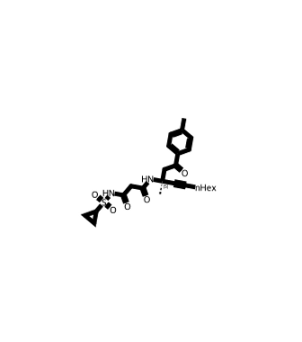 CCCCCCC#C[C@](C)(CC(=O)c1ccc(C)cc1)NC(=O)CC(=O)NS(=O)(=O)C1CC1